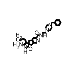 C=C/C=C\C1=C(N)NC(=O)C12Cc1cnc(C(=O)NCCN3CCN(Cc4ccccc4)CC3)cc1C2